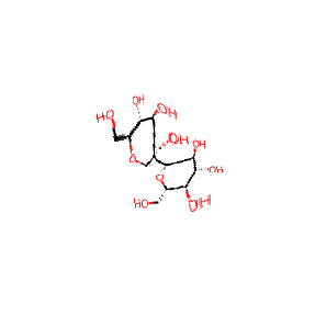 OC[C@@H]1O[C@H]([C@@]2(O)[CH]O[C@@H](CO)[C@H](O)[C@H]2O)[C@@H](O)[C@H](O)[C@H]1O